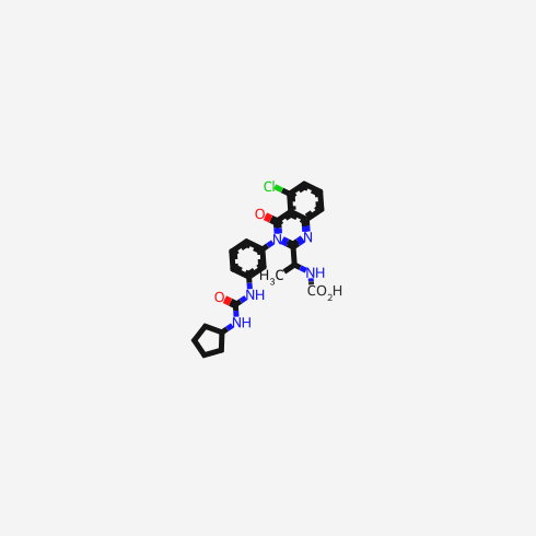 CC(NC(=O)O)c1nc2cccc(Cl)c2c(=O)n1-c1cccc(NC(=O)NC2CCCC2)c1